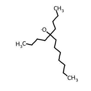 CCCCCCCC([O])(CCCC)CCCC